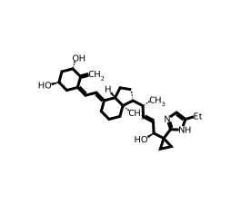 C=C1/C(=C\C=C2/CCC[C@]3(C)[C@@H]([C@H](C)/C=C/[C@H](O)C4(c5ncc(CC)[nH]5)CC4)CC[C@@H]23)C[C@@H](O)C[C@@H]1O